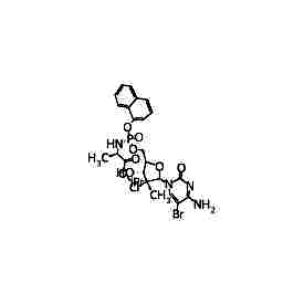 CC(C)OC(=O)[C@@H](C)N[P@](=O)(OC[C@H]1O[C@@H](n2cc(Br)c(N)nc2=O)[C@](C)(Cl)[C@@H]1O)Oc1cccc2ccccc12